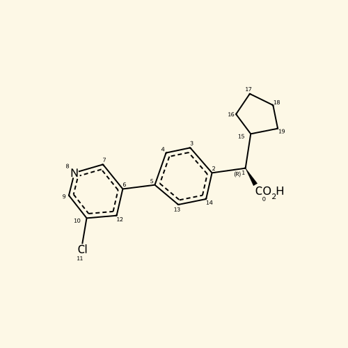 O=C(O)[C@@H](c1ccc(-c2cncc(Cl)c2)cc1)C1CCCC1